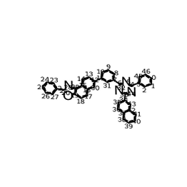 c1ccc(-c2nc(-c3cccc(-c4ccc5c(ccc6oc(-c7ccccc7)nc65)c4)c3)nc(-c3ccc4ccccc4c3)n2)cc1